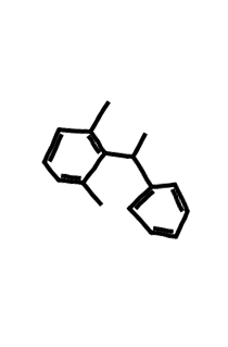 C[C](c1ccccc1)c1c(C)cccc1C